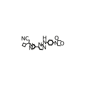 N#CCC(C1CCC1)n1cc(-c2ccnc(Nc3ccc(N4CCOCC4=O)cc3)n2)cn1